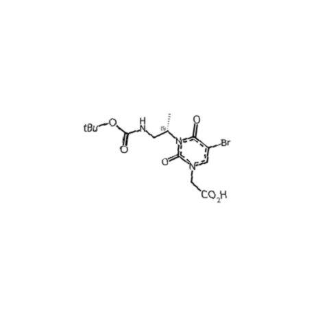 C[C@@H](CNC(=O)OC(C)(C)C)n1c(=O)c(Br)cn(CC(=O)O)c1=O